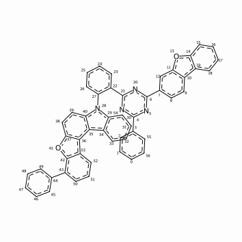 c1ccc(-c2nc(-c3ccc4c(c3)oc3ccccc34)nc(-c3ccccc3-n3c4ccccc4c4c5c(ccc43)oc3c(-c4ccccc4)cccc35)n2)cc1